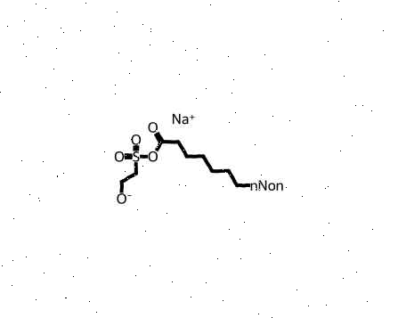 CCCCCCCCCCCCCCCC(=O)OS(=O)(=O)CC[O-].[Na+]